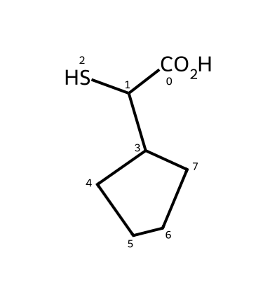 O=C(O)C(S)C1CCCC1